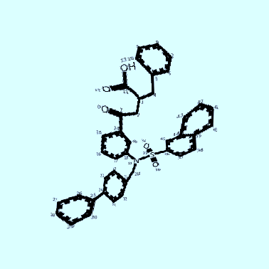 O=C(CC(Cc1ccccc1)C(=O)O)c1cccc(N(Cc2ccc(-c3ccccc3)cc2)S(=O)(=O)c2ccc3ccccc3c2)c1